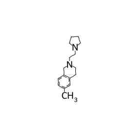 Cc1ccc2c(c1)CCN(CCN1CCCC1)C2